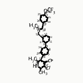 Cc1[nH]c(C)c(-c2ccc(-c3cccc(CN(C)Cc4ccc(OC(F)(F)F)cc4)c3)cc2)c(=O)c1Cl